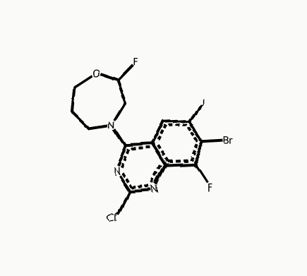 Fc1c(Br)c(I)cc2c(N3CCCOC(F)C3)nc(Cl)nc12